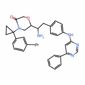 CC(C)c1cccc(C2(N3CC(C(N)Cc4ccc(Nc5cc(-c6ccccc6)ncn5)cc4)OCC3=O)CC2)c1